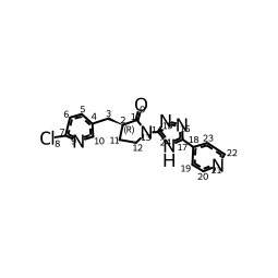 O=C1[C@H](Cc2ccc(Cl)nc2)CCN1c1nnc(-c2ccncc2)[nH]1